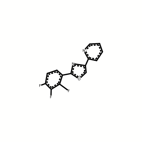 Fc1ccc(-c2nc(-c3ccccn3)co2)c(F)c1F